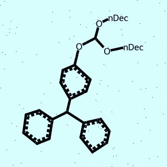 CCCCCCCCCCOC(OCCCCCCCCCC)Oc1ccc(C(c2ccccc2)c2ccccc2)cc1